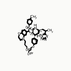 COCCCOc1ccc([C@H]2C[C@H](CC(C)c3nnn[nH]3)NC[C@@H]2OC(c2ccc3c(c2)N(CCCOC)CCO3)S(=O)(=O)c2ccc(C)cc2)cc1